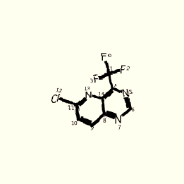 FC(F)(F)c1ncnc2ccc(Cl)nc12